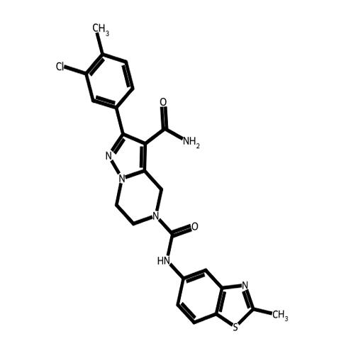 Cc1nc2cc(NC(=O)N3CCn4nc(-c5ccc(C)c(Cl)c5)c(C(N)=O)c4C3)ccc2s1